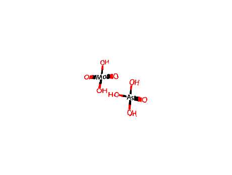 O=[As](O)(O)O.[O]=[Mo](=[O])([OH])[OH]